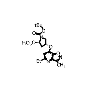 CCc1cc(O[C@@H]2C[C@@H](C(=O)O)N(C(=O)OC(C)(C)C)C2)c2onc(C)c2n1